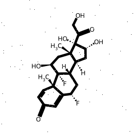 C[C@]12C=CC(=O)C=C1[C@@H](F)C[C@H]1[C@@H]3C[C@@H](O)[C@](O)(C(=O)CO)[C@@]3(C)C[C@H](O)[C@@]12F